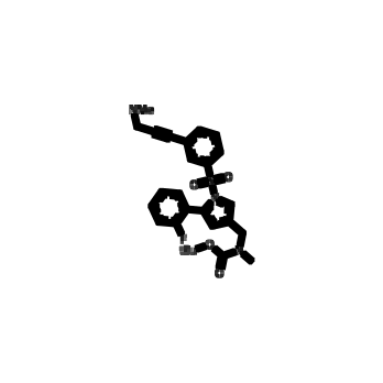 CNCC#Cc1cccc(S(=O)(=O)n2cc(CN(C)C(=O)OC(C)(C)C)cc2-c2ccccc2F)c1